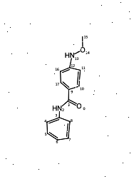 O=C(Nc1ccccc1)c1ccc(NOI)cc1